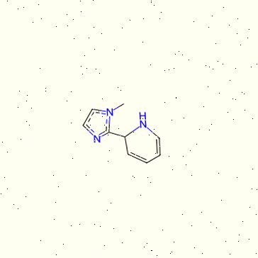 Cn1ccnc1C1C=CC=CN1